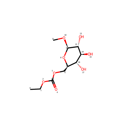 CCOC(=O)OC[C@H]1O[C@@H](OC)[C@H](O)[C@@H](O)[C@@H]1O